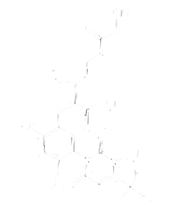 COC(=O)CCO/C(C)=C(/Oc1cc(-n2c(=O)cc(C(F)(F)F)n(C)c2=O)c(F)cc1Cl)C(=O)O